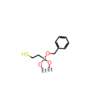 CCO[Si](CCS)(OCC)OCc1ccccc1